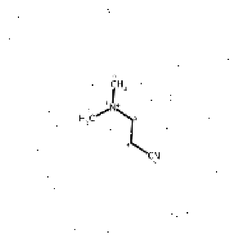 C[N+](C)CCC#N